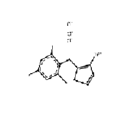 Cc1cc(C)c(CC2=[C]([Ti+3])C=CC2)c(C)c1.[Cl-].[Cl-].[Cl-]